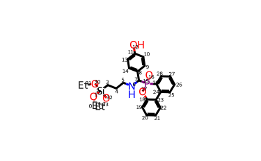 CCO[Si](CCCNC(c1ccc(O)cc1)P1(=O)Oc2ccccc2-c2ccccc21)(OCC)OCC